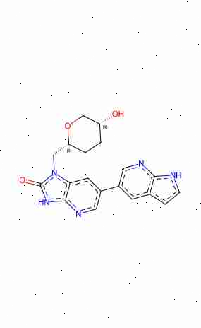 O=c1[nH]c2ncc(-c3cnc4[nH]ccc4c3)cc2n1C[C@H]1CC[C@@H](O)CO1